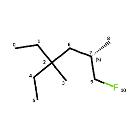 CCC(C)(CC)C[C@H](C)CF